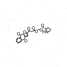 O=C(CC(=O)c1cc2c(o1)C(=O)c1ccccc1C2=O)OCOC(=O)[C@@H]1CCCN1